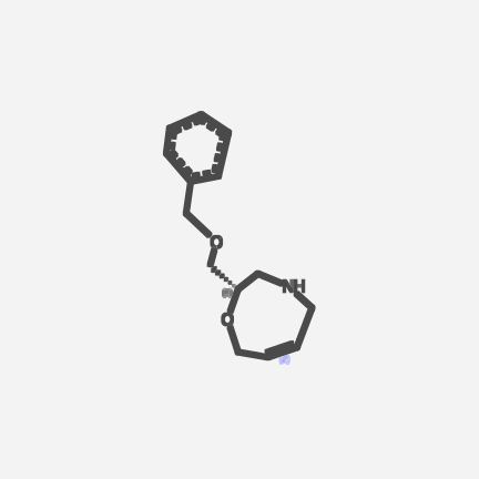 C1=C\CO[C@H](COCc2ccccc2)CNC/1